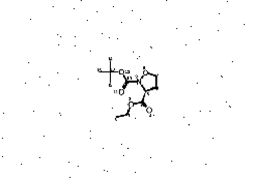 CCOC(=O)[C@@H]1CCON1C(=O)OC(C)(C)C